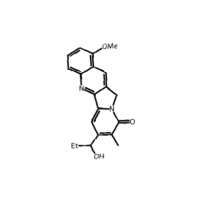 CCC(O)c1cc2n(c(=O)c1C)Cc1cc3c(OC)cccc3nc1-2